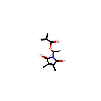 C=C(C)C(=O)OC(C)N1C(=O)C(C)=C(C)C1=O